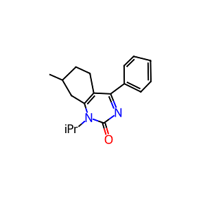 CC1CCc2c(-c3ccccc3)nc(=O)n(C(C)C)c2C1